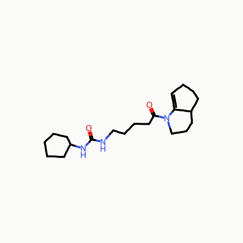 O=C(NCCCCC(=O)N1CCCC2CCCC=C21)NC1CCCCC1